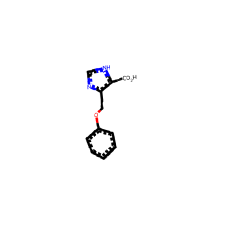 O=C(O)c1[nH][c]nc1COc1ccccc1